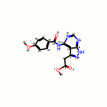 COC(=O)Cc1n[nH]c2ncnc(NC(=O)c3ccc(OC)cc3)c12